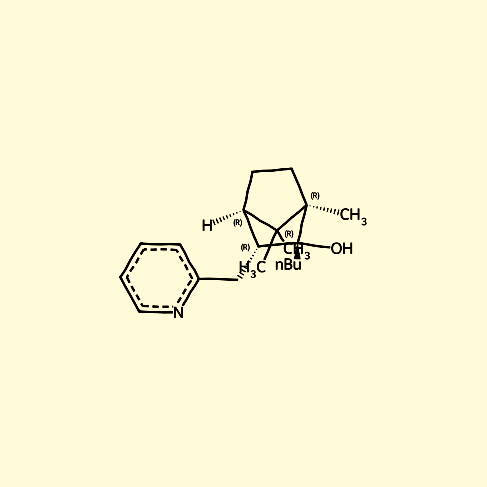 CCCC[C@@]1(O)[C@H](Cc2ccccn2)[C@H]2CC[C@]1(C)C2(C)C